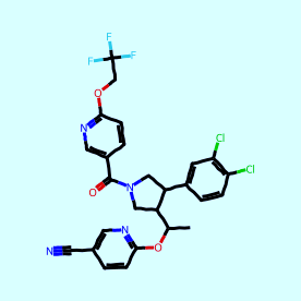 CC(Oc1ccc(C#N)cn1)C1CN(C(=O)c2ccc(OCC(F)(F)F)nc2)CC1c1ccc(Cl)c(Cl)c1